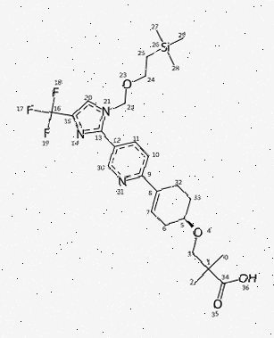 CC(C)(CO[C@H]1CC=C(c2ccc(-c3nc(C(F)(F)F)cn3COCC[Si](C)(C)C)cn2)CC1)C(=O)O